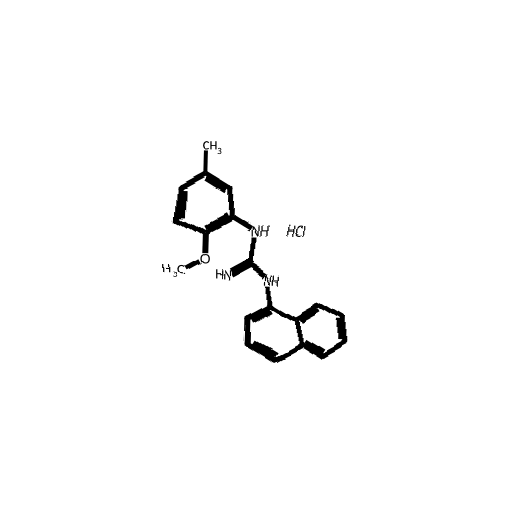 COc1ccc(C)cc1NC(=N)Nc1cccc2ccccc12.Cl